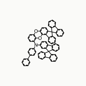 c1ccc(-c2ccc(N(c3ccc4c(c3)C3(c5ccccc5-c5ccccc53)c3ccccc3-4)c3cccc4c3Oc3c(ccc5c3-c3ccccc3C53c5ccccc5-c5ccccc53)O4)cc2)cc1